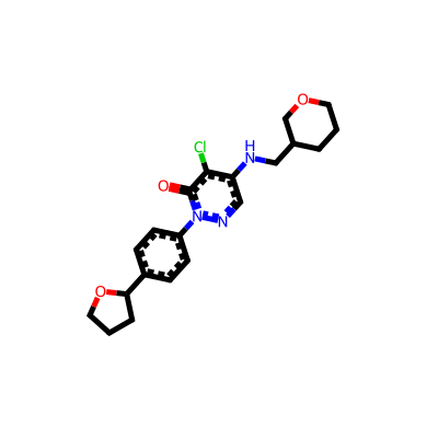 O=c1c(Cl)c(NCC2CCCOC2)cnn1-c1ccc(C2CCCO2)cc1